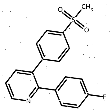 CS(=O)(=O)c1ccc(-c2cccnc2-c2ccc(F)cc2)cc1